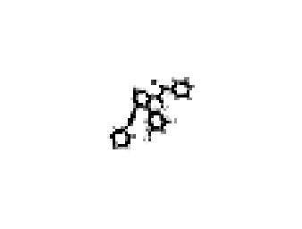 O=C(c1cccc(C#Cc2ccncc2)c1-c1cc(O)cc(Cl)c1)C(O)c1ccccc1